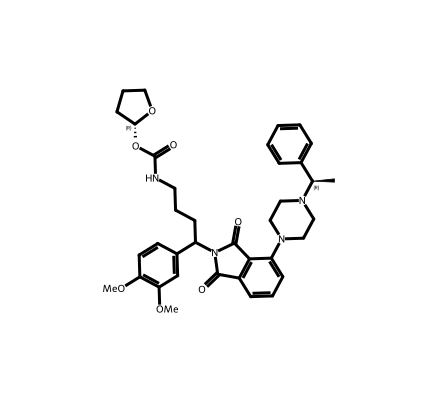 COc1ccc(C(CCCNC(=O)O[C@@H]2CCCO2)N2C(=O)c3cccc(N4CCN([C@H](C)c5ccccc5)CC4)c3C2=O)cc1OC